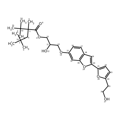 CC(C)(C)CC(C)(C(=O)OCC(O)COc1ccc2cc(-c3ccc(CCO)o3)oc2c1)C(C)(C)C